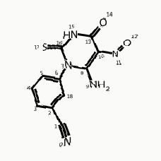 N#Cc1cccc(-n2c(N)c(N=O)c(=O)[nH]c2=S)c1